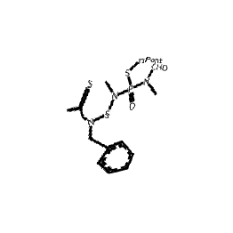 CCCCCSP(=O)(N(C)C=O)N(C)SN(Cc1ccccc1)C(C)=S